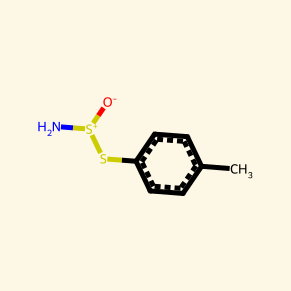 Cc1ccc(S[S+](N)[O-])cc1